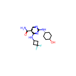 NC(=O)c1cnc(N[C@H]2CC[C@H](O)CC2)nc1NC1CC(F)(F)C1